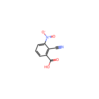 N#Cc1c(C(=O)O)cccc1[N+](=O)[O-]